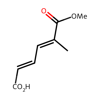 COC(=O)/C(C)=C/C=C/C(=O)O